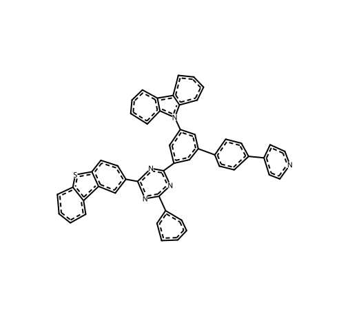 c1ccc(-c2nc(-c3cc(-c4ccc(-c5ccncc5)cc4)cc(-n4c5ccccc5c5ccccc54)c3)nc(-c3ccc4sc5ccccc5c4c3)n2)cc1